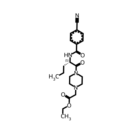 CCC[C@H](NC(=O)c1ccc(C#N)cc1)C(=O)N1CCN(CC(=O)OCC)CC1